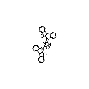 c1ccc2c(c1)oc1c2c2ccccc2n1-c1noc(-n2c3ccccc3c3c4ccccc4oc32)n1